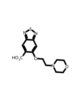 O=C(O)c1cc2nsnc2cc1OCCN1CCOCC1